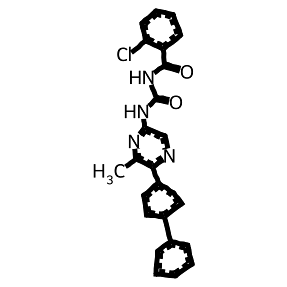 Cc1nc(NC(=O)NC(=O)c2ccccc2Cl)cnc1-c1ccc(-c2ccccc2)cc1